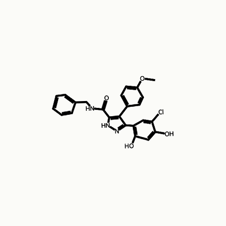 COc1ccc(-c2c(-c3cc(Cl)c(O)cc3O)n[nH]c2C(=O)NCc2ccccc2)cc1